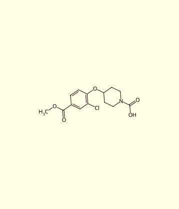 COC(=O)c1ccc(OC2CCN(C(=O)O)CC2)c(Cl)c1